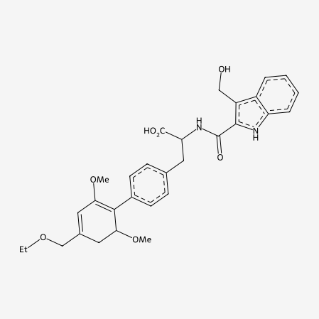 CCOCC1=CC(OC)=C(c2ccc(CC(NC(=O)c3[nH]c4ccccc4c3CO)C(=O)O)cc2)C(OC)C1